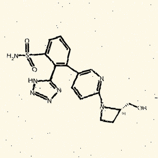 NS(=O)(=O)c1cccc(-c2ccc(N3CC[C@H]3CO)nc2)c1-c1nnn[nH]1